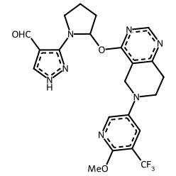 COc1ncc(N2CCc3ncnc(OC4CCCN4c4n[nH]cc4C=O)c3C2)cc1C(F)(F)F